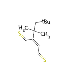 CC(C)(C)CC(C)(C)/C(C=S)=C/C=S